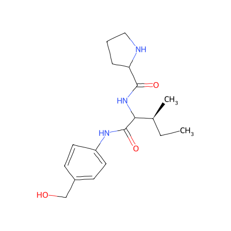 CC[C@H](C)C(NC(=O)C1CCCN1)C(=O)Nc1ccc(CO)cc1